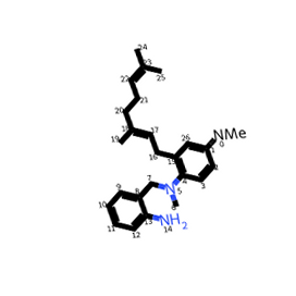 CNc1ccc(N(C)Cc2ccccc2N)c(C/C=C(\C)CCC=C(C)C)c1